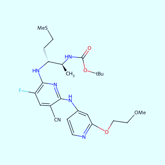 COCCOc1cc(Nc2nc(N[C@H](CCSC)[C@H](C)NC(=O)OC(C)(C)C)c(F)cc2C#N)ccn1